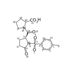 Cc1ccc(S(=O)(=O)N2C(=O)CC[C@H]2C(=O)N2CCCC2C(=O)O)cc1